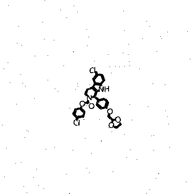 O=C(Oc1ccc(Cl)cc1)N1CCc2c([nH]c3ccc(Cl)cc23)C1c1ccc(OCC2OCCO2)cc1